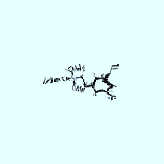 CO[Si](CCc1cc(F)cc(F)c1)(OC)OC